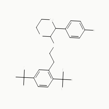 Fc1ccc(C2NCCOC2OCCc2cc(C(F)(F)F)ccc2C(F)(F)F)cc1